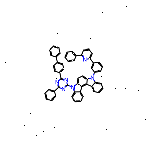 c1ccc(-c2ccc(-c3nc(-c4ccccc4)nc(-n4c5ccccc5c5c6c7ccccc7n(-c7cccc(-c8cccc(-c9ccccc9)n8)c7)c6ccc54)n3)cc2)cc1